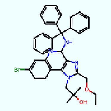 CCOCc1nc2c(NC(c3ccccc3)(c3ccccc3)c3ccccc3)nc3cc(Br)ccc3c2n1CC(C)(C)O